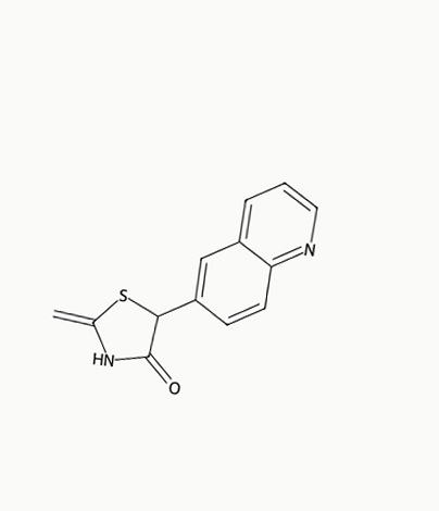 C=C1NC(=O)C(c2ccc3ncccc3c2)S1